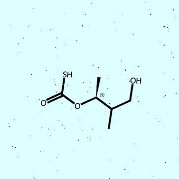 CC(CO)[C@H](C)OC(=O)S